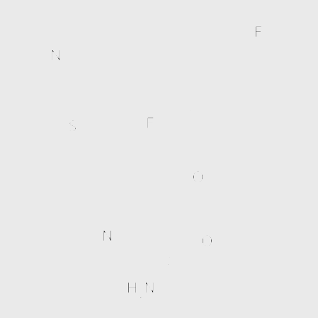 NC(=O)c1ncc(Sc2ccccn2)cc1Oc1ccc(F)cc1F